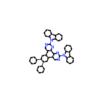 c1ccc(-c2cc3c(cc2-c2ccccc2)c2cnc(-n4c5ccccc5c5ccccc54)nc2c2nc(-n4c5ccccc5c5ccccc54)ncc32)cc1